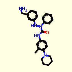 Cc1cc(NC(=O)N(Nc2cccc(CN)c2)c2ccccc2)ccc1N1CCCCC1